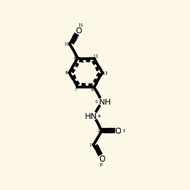 O=CC(=O)NNc1ccc(C=O)cc1